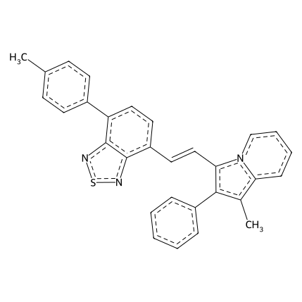 Cc1ccc(-c2ccc(/C=C/c3c(-c4ccccc4)c(C)c4ccccn34)c3nsnc23)cc1